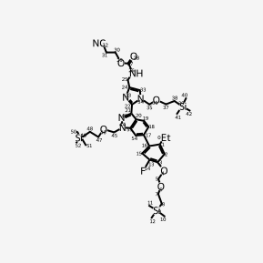 CCc1cc(OCOCC[Si](C)(C)C)c(F)cc1-c1ccc2c(-c3nc(CNC(=O)OCCC#N)cn3COCC[Si](C)(C)C)nn(COCC[Si](C)(C)C)c2c1